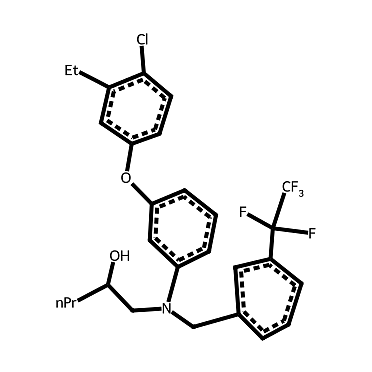 CCCC(O)CN(Cc1cccc(C(F)(F)C(F)(F)F)c1)c1cccc(Oc2ccc(Cl)c(CC)c2)c1